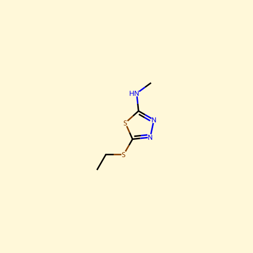 CCSc1nnc(NC)s1